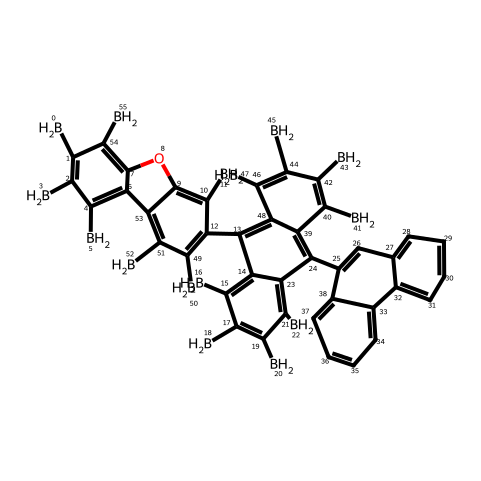 Bc1c(B)c(B)c2c(oc3c(B)c(-c4c5c(B)c(B)c(B)c(B)c5c(-c5cc6ccccc6c6ccccc56)c5c(B)c(B)c(B)c(B)c45)c(B)c(B)c32)c1B